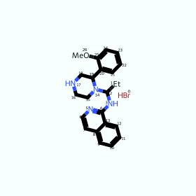 Br.CCC(Nc1nccc2ccccc12)N1CCNCC1c1ccccc1OC